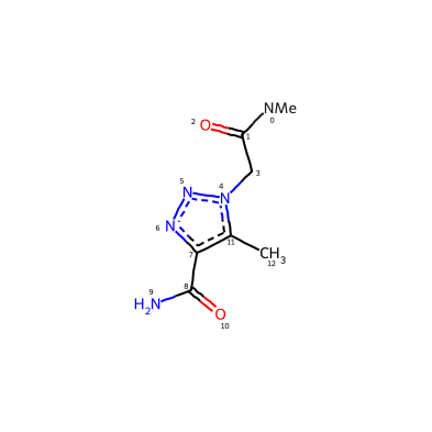 CNC(=O)Cn1nnc(C(N)=O)c1C